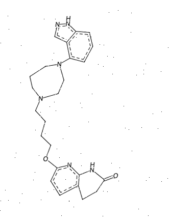 O=C1CCc2ccc(OCCCCN3CCCN(c4cccc5[nH]ncc45)CC3)nc2N1